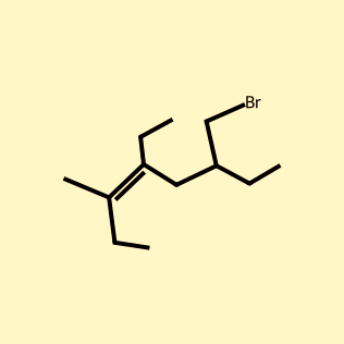 CCC(C)=C(CC)CC(CC)CBr